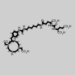 O=C(O)CC[C@H](NC(=O)N[C@@H](CCC(=O)NCCCCCCNC(=S)Nc1ccc(CC2CN(CC(=O)O)CCNCCN(CC(=O)O)CCN2)cc1)C(=O)O)C(=O)O